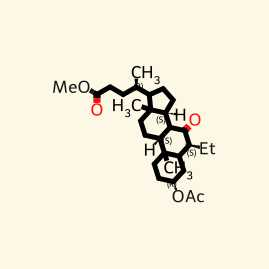 CC[C@@H]1C(=O)C2[C@@H]3CCC([C@H](C)CCC(=O)OC)C3(C)CC[C@@H]2C2(C)CC[C@@H](OC(C)=O)CC12